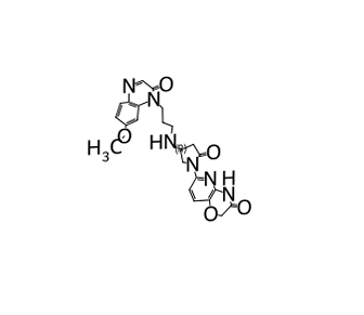 COc1ccc2ncc(=O)n(CCCN[C@@H]3CC(=O)N(c4ccc5c(n4)NC(=O)CO5)C3)c2c1